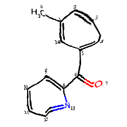 Cc1cccc(C(=O)c2ccccn2)c1